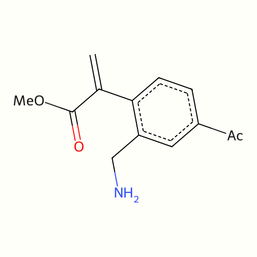 C=C(C(=O)OC)c1ccc(C(C)=O)cc1CN